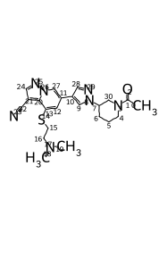 CC(=O)N1CCCC(n2cc(-c3cc(SCCN(C)C)c4c(C#N)cnn4c3)cn2)C1